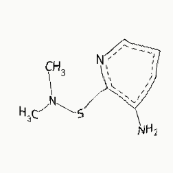 CN(C)Sc1ncccc1N